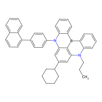 CCCN1c2ccccc2B2c3ccccc3N(c3ccc(-c4cccc5ccccc45)cc3)c3cc(C4CCCCC4)cc1c32